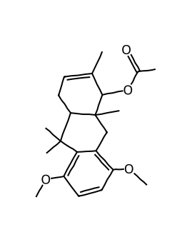 COc1ccc(OC)c2c1CC1(C)C(OC(C)=O)C(C)=CCC1C2(C)C